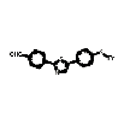 CC(C)Sc1ccc(-c2cnc(-c3ccc(C=O)cc3)s2)cc1